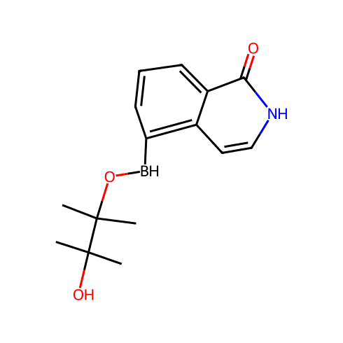 CC(C)(O)C(C)(C)OBc1cccc2c(=O)[nH]ccc12